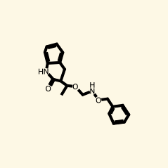 CC(OCNOCc1ccccc1)C1Cc2ccccc2NC1=O